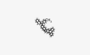 Cc1ccc(N(c2ccc3ccccc3c2)c2ccc3cc4sc5cc6c7ccccc7c7ccccc7c6cc5c4cc3c2)cc1